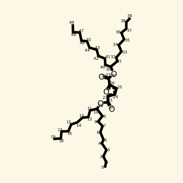 CCCCCCCCCCC(CCCCCCCCC)OC(=O)c1ccc(C(=O)OC(CCCCCCCCC)CCCCCCCCCC)o1